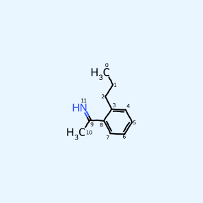 CCCc1ccccc1C(C)=N